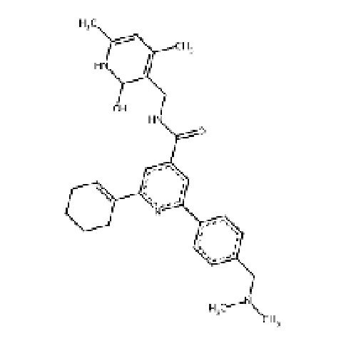 CC1=CC(C)=C(CNC(=O)c2cc(C3=CCCCC3)nc(-c3ccc(CN(C)C)cc3)c2)C(O)N1